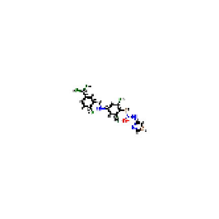 ON(Nc1cscn1)Sc1c(F)cc(NCc2cc(C(F)F)ccc2F)cc1F